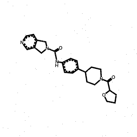 O=C(Nc1ccc(C2CCN(C(=O)C3CCCO3)CC2)cc1)N1Cc2ccncc2C1